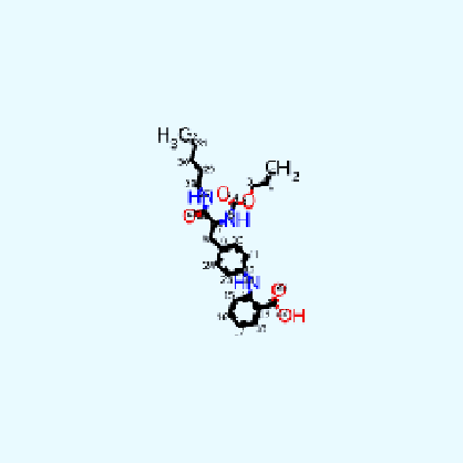 C=CCOC(=O)NC(Cc1ccc(Nc2ccccc2C(=O)O)cc1)C(=O)NCCCCC